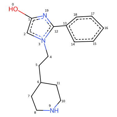 Oc1cn(CCC2CCNCC2)c(-c2ccccc2)n1